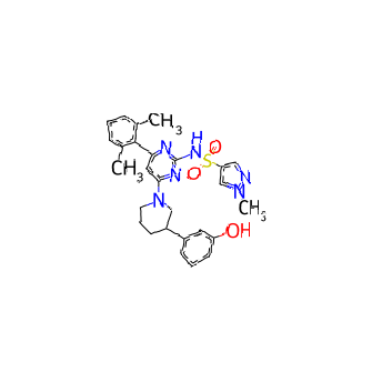 Cc1cccc(C)c1-c1cc(N2CCCC(c3cccc(O)c3)C2)nc(NS(=O)(=O)c2cnn(C)c2)n1